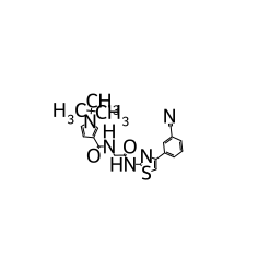 CC(C)(C)n1ccc(C(=O)NCC(=O)Nc2nc(-c3cccc(C#N)c3)cs2)c1